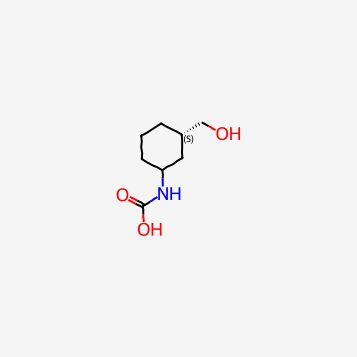 O=C(O)NC1CCC[C@H](CO)C1